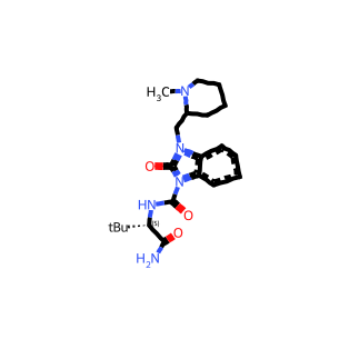 CN1CCCCC1Cn1c(=O)n(C(=O)N[C@H](C(N)=O)C(C)(C)C)c2ccccc21